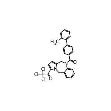 Cc1ccccc1-c1ccc(C(=O)N2Cc3ccc(C(=O)C(Cl)(Cl)Cl)n3Cc3ccccc32)cc1